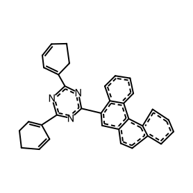 C1=CCCC(c2nc(C3=CCCC=C3)nc(-c3cc4ccc5ccccc5c4c4ccccc34)n2)=C1